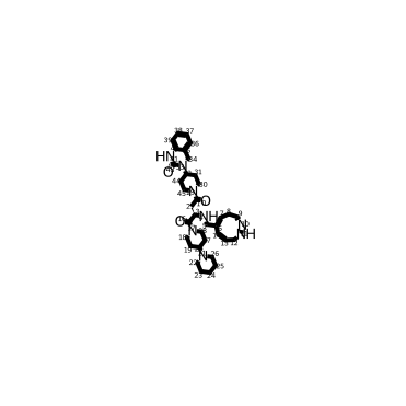 O=C(C[C@H](NCC1=C/C/C=N\NC/C=C\1)C(=O)N1CCC(N2CCCCC2)CC1)N1CCC(N2Cc3ccccc3NC2=O)CC1